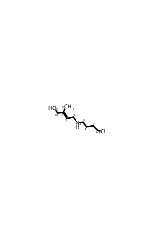 C/C(=C\CN[CH]CCCCl)CO